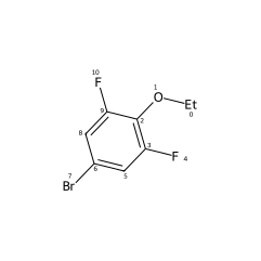 CCOc1c(F)cc(Br)cc1F